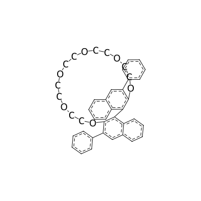 c1ccc(-c2cc3ccccc3c3c2OCCOCCOCCOCCOCCOc2c(-c4ccccc4)cc4ccccc4c2-3)cc1